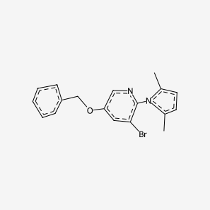 Cc1ccc(C)n1-c1ncc(OCc2ccccc2)cc1Br